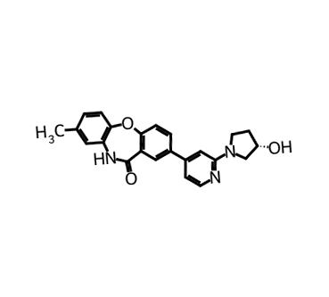 Cc1ccc2c(c1)NC(=O)c1cc(-c3ccnc(N4CC[C@H](O)C4)c3)ccc1O2